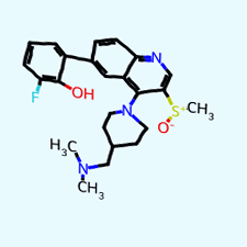 CN(C)CC1CCN(c2c([S+](C)[O-])cnc3ccc(-c4cccc(F)c4O)cc23)CC1